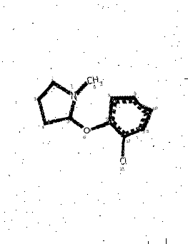 CN1CCCC1Oc1ccccc1Cl